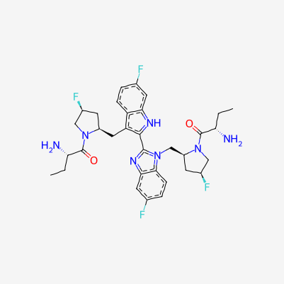 CC[C@H](N)C(=O)N1C[C@@H](F)C[C@H]1Cc1c(-c2nc3cc(F)ccc3n2C[C@@H]2C[C@H](F)CN2C(=O)[C@@H](N)CC)[nH]c2cc(F)ccc12